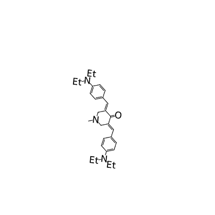 CCN(CC)c1ccc(C=C2CN(C)CC(=Cc3ccc(N(CC)CC)cc3)C2=O)cc1